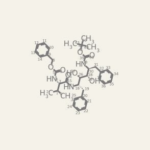 CC(C)[C@H](NC(=O)OCc1ccccc1)C(=O)N[C@@H](Cc1ccccc1)[C@@H](O)[C@@H](O)[C@H](Cc1ccccc1)NC(=O)OC(C)(C)C